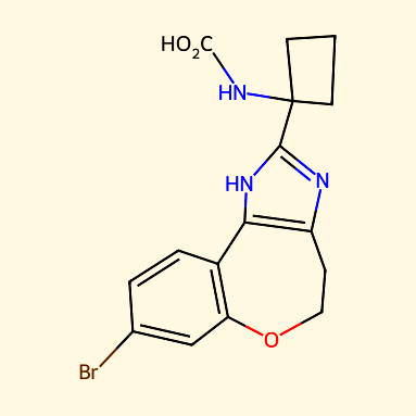 O=C(O)NC1(c2nc3c([nH]2)-c2ccc(Br)cc2OCC3)CCC1